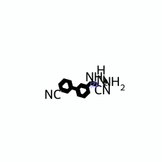 N#C/C(NN)=C(/N)c1cccc(-c2cccc(C#N)c2)c1